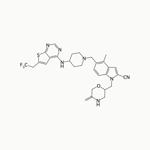 C=C1COC(Cn2c(C#N)cc3c(C)c(CN4CCC(Nc5ncnc6sc(CC(F)(F)F)cc56)CC4)ccc32)CN1